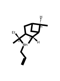 C=CCB[C@@](C)(CC)C1CC2CC([C@@H]2C)[C@@H]1C